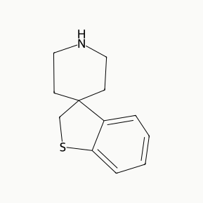 c1ccc2c(c1)SCC21CCNCC1